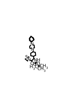 CC(C)(C)OC(=O)N[C@H](C(=O)N1CCSC1)C1CCC(N2CCN(c3ccccc3)CC2)CC1